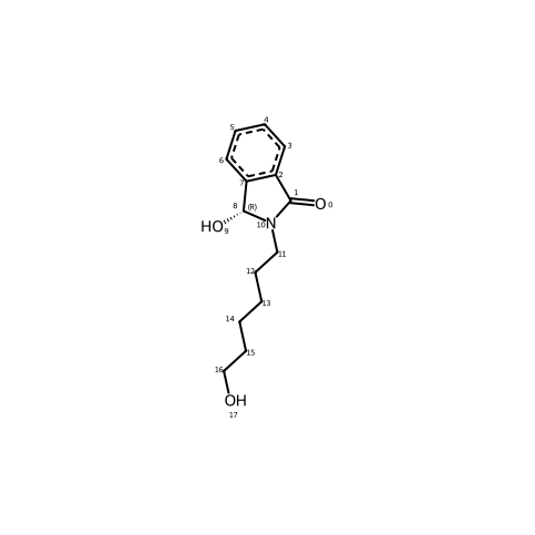 O=C1c2ccccc2[C@@H](O)N1CCCCCCO